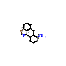 Nc1cccc2c1Cc1cccc3snc-2c13